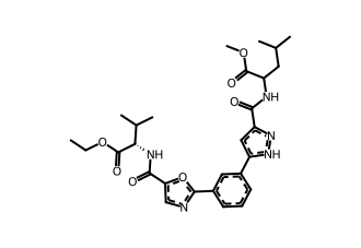 CCOC(=O)[C@@H](NC(=O)c1cnc(-c2cccc(-c3cc(C(=O)NC(CC(C)C)C(=O)OC)n[nH]3)c2)o1)C(C)C